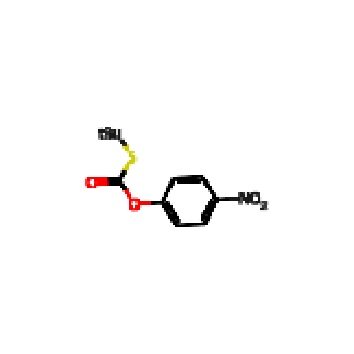 CC(C)(C)SC(=O)Oc1ccc([N+](=O)[O-])cc1